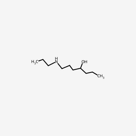 CCCNCCCC(O)CCC